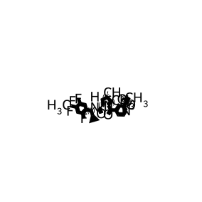 C[C@H]1C[C@H](C(=O)N[C@@H](c2cc(F)c(C(C)(F)F)cc2F)C2CC2)N(C(=O)c2ccnc(S(C)(=O)=O)c2)[C@H]1C